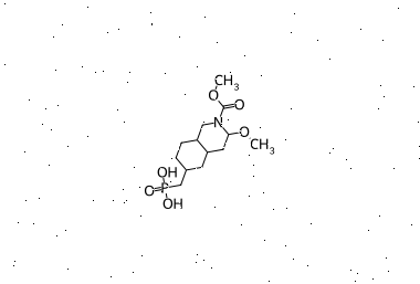 COC(=O)N1CC2CCC(CP(=O)(O)O)CC2CC1OC